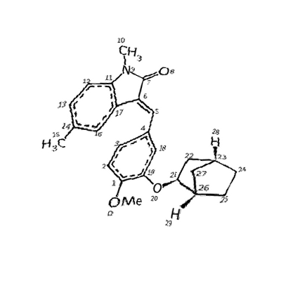 COc1ccc(/C=C2/C(=O)N(C)c3ccc(C)cc32)cc1O[C@H]1C[C@@H]2CC[C@H]1C2